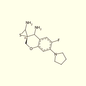 NC1S[C@]12COc1cc(N3CCCC3)c(F)cc1C2N